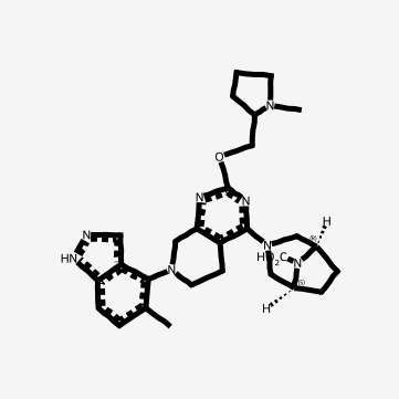 Cc1ccc2[nH]ncc2c1N1CCc2c(nc(OCC3CCCN3C)nc2N2C[C@H]3CC[C@@H](C2)N3C(=O)O)C1